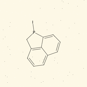 IP1Cc2cccc3cccc1c23